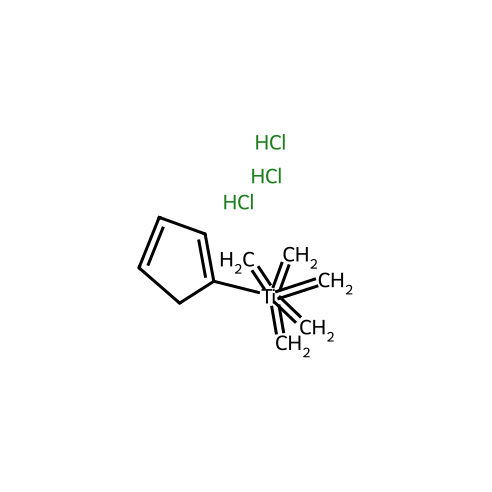 Cl.Cl.Cl.[CH2]=[Ti](=[CH2])(=[CH2])(=[CH2])(=[CH2])[C]1=CC=CC1